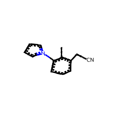 Cc1c([CH]C#N)cccc1-n1cccc1